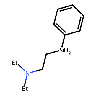 CCN(CC)CC[SiH2]c1ccccc1